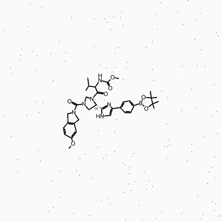 COC(=O)NC(C(=O)N1CN(C(=O)N2Cc3ccc(OC)cc3C2)C[C@H]1c1nc(-c2ccc(B3OC(C)(C)C(C)(C)O3)cc2)c[nH]1)C(C)C